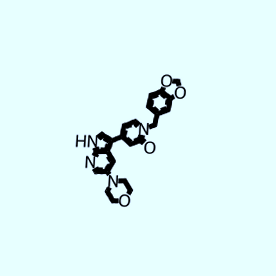 O=c1cc(-c2c[nH]c3ncc(N4CCOCC4)cc23)ccn1Cc1ccc2c(c1)OCO2